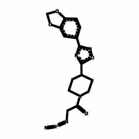 [N-]=[N+]=NCC(=O)N1CCC(c2nc(-c3ccc4c(c3)OCO4)no2)CC1